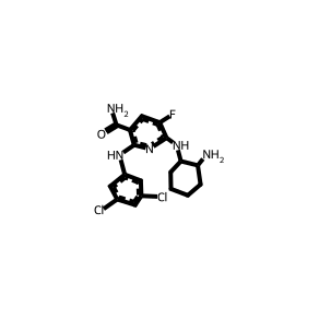 NC(=O)c1cc(F)c(NC2CCCCC2N)nc1Nc1cc(Cl)cc(Cl)c1